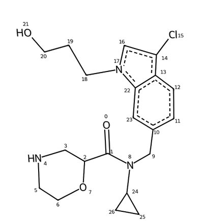 O=C(C1CNCCO1)N(Cc1ccc2c(Cl)cn(CCCO)c2c1)C1CC1